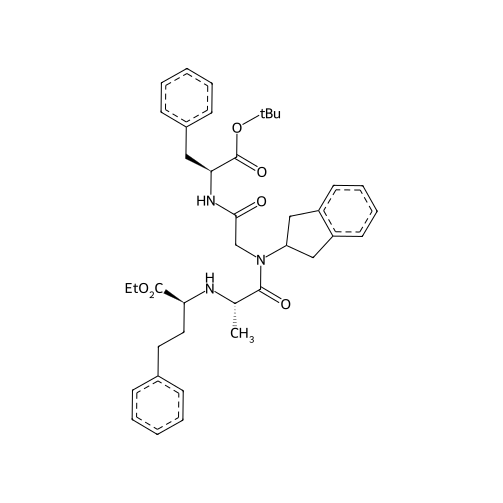 CCOC(=O)[C@H](CCc1ccccc1)N[C@@H](C)C(=O)N(CC(=O)N[C@@H](Cc1ccccc1)C(=O)OC(C)(C)C)C1Cc2ccccc2C1